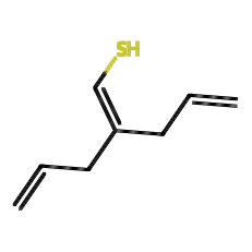 C=CCC(=CS)CC=C